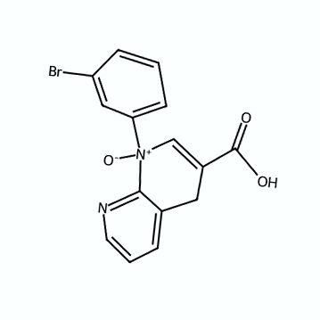 O=C(O)C1=C[N+]([O-])(c2cccc(Br)c2)c2ncccc2C1